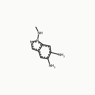 CNn1ncc2cc(N)c(N)cc21